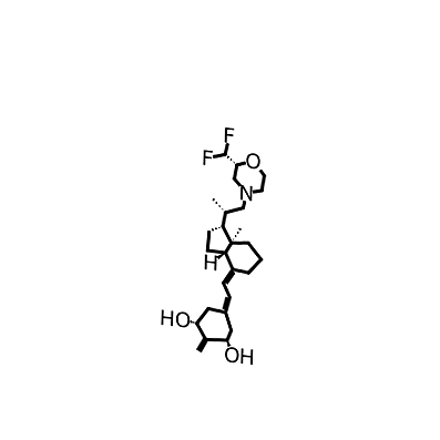 C=C1[C@H](O)CC(=C/C=C2\CCC[C@]3(C)[C@@H]([C@H](C)CN4CCO[C@@H](C(F)F)C4)CC[C@@H]23)C[C@H]1O